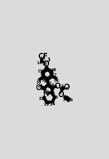 C#COC(=O)OC1=C(c2c(C)cc(OCC(F)(F)F)cc2C)C(=O)N2CCCCC12